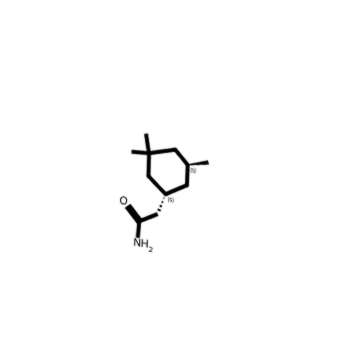 C[C@H]1C[C@H](CC(N)=O)CC(C)(C)C1